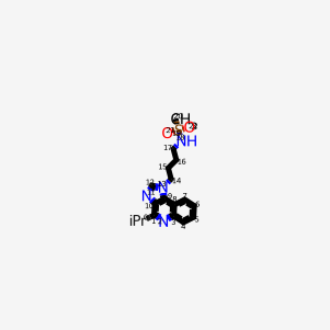 CC(C)c1nc2ccccc2c2c1ncn2CCCCNS(C)(=O)=O